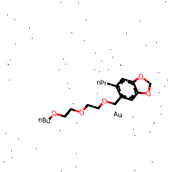 CCCCOCCOCCOCc1cc2c(cc1CCC)OCO2.[Au]